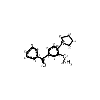 NOc1cc(C(=O)c2ccccc2)ccc1N1CCCC1